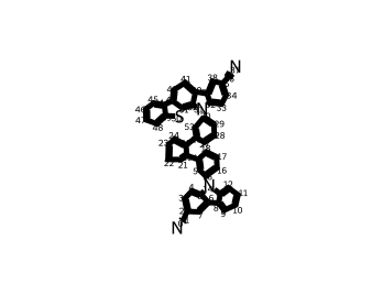 N#Cc1ccc2c(c1)c1ccccc1n2-c1cccc(-c2ccccc2-c2cccc(-n3c4ccc(C#N)cc4c4ccc5c6ccccc6sc5c43)c2)c1